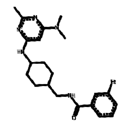 CCc1cccc(C(=O)NCC2CCC(Nc3cc(N(C)C)nc(C)n3)CC2)c1